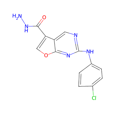 NNC(=O)c1coc2nc(Nc3ccc(Cl)cc3)ncc12